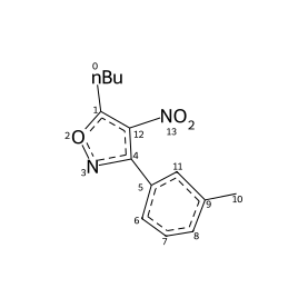 CCCCc1onc(-c2cccc(C)c2)c1[N+](=O)[O-]